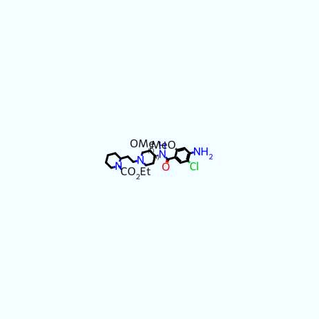 CCOC(=O)N1CCCCC1CCN1CC[C@@H](NC(=O)c2cc(Cl)c(N)cc2OC)[C@@H](OC)C1